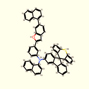 c1cc(-c2cc3ccc(-c4cccc5ccccc45)cc3o2)cc(N(c2ccc3c(c2)-c2ccccc2C32c3ccccc3Sc3ccccc32)c2cccc3ccccc23)c1